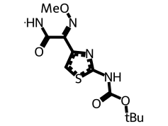 CO/N=C(\C([NH])=O)c1csc(NC(=O)OC(C)(C)C)n1